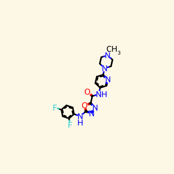 CN1CCN(c2ccc(NC(=O)c3nnc(Nc4ccc(F)cc4F)o3)cn2)CC1